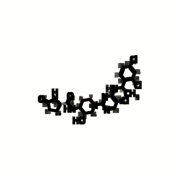 C[C@@H](Nc1nc(N2CC[C@H](NC(=O)[C@@H]3CCC(=O)N3)[C@@H](O)C2)ncc1Cl)c1ccc(Cl)cc1Cl